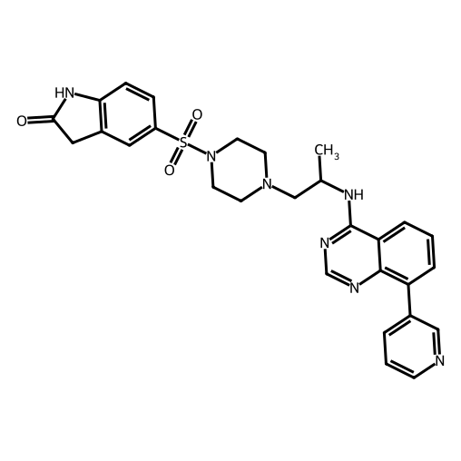 CC(CN1CCN(S(=O)(=O)c2ccc3c(c2)CC(=O)N3)CC1)Nc1ncnc2c(-c3cccnc3)cccc12